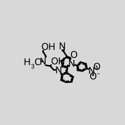 CN(CCO)CC(O)Cn1c2ccccc2c2c1cc(C#N)c(=O)n2-c1ccc([N+](=O)[O-])cc1